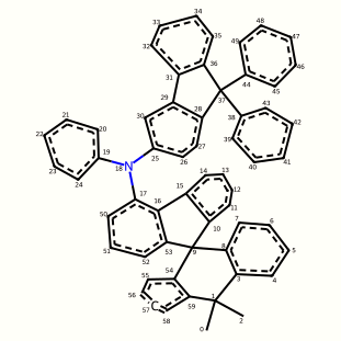 CC1(C)c2ccccc2C2(c3ccccc3-c3c(N(c4ccccc4)c4ccc5c(c4)-c4ccccc4C5(c4ccccc4)c4ccccc4)cccc32)c2ccccc21